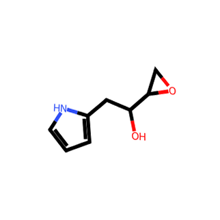 OC(Cc1ccc[nH]1)C1CO1